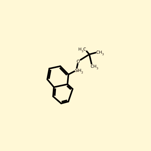 CC(C)(C)O[SiH2]c1cccc2ccccc12